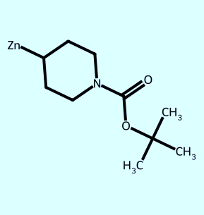 CC(C)(C)OC(=O)N1CC[CH]([Zn])CC1